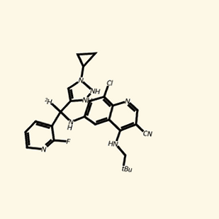 [2H]C(Nc1cc(Cl)c2ncc(C#N)c(NCC(C)(C)C)c2c1)(C1=CN(C2CC2)NN1)c1cccnc1F